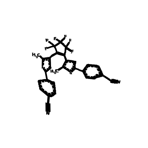 Cc1sc(-c2ccc(C#N)cc2)cc1C1=C(c2cc(-c3ccc(C#N)cc3)sc2C)C(F)(F)C(F)(F)C1(F)F